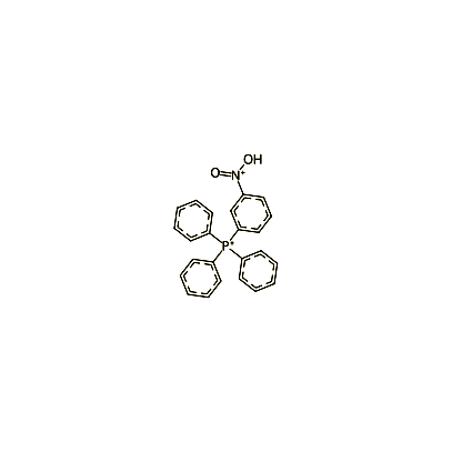 O=[N+](O)c1cccc([P+](c2ccccc2)(c2ccccc2)c2ccccc2)c1